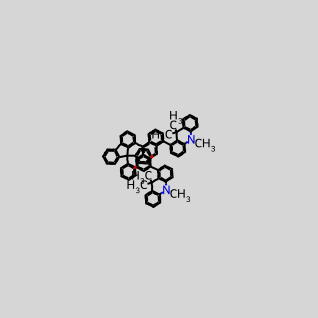 CN1c2ccccc2C(C)(C)c2c(-c3cccc4c(-c5cccc6c5C(c5ccccc5)(c5ccccc5)c5ccccc5-6)c5cccc(-c6cccc7c6C(C)(C)c6ccccc6N7C)c5cc34)cccc21